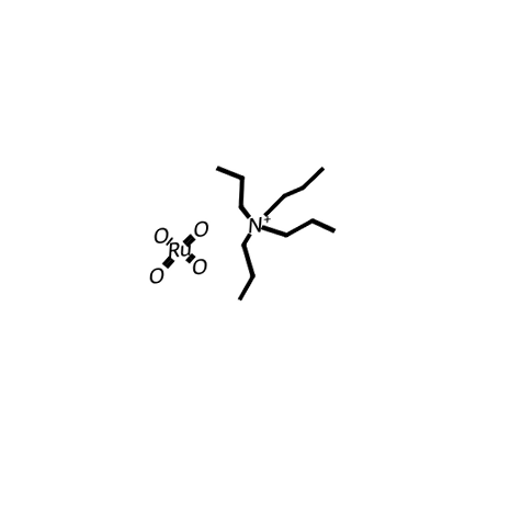 CCC[N+](CCC)(CCC)CCC.[O]=[Ru](=[O])(=[O])=[O]